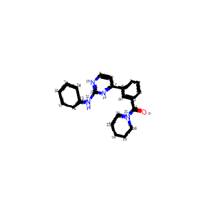 O=C(c1cccc(-c2ccnc(NC3CCCCC3)n2)c1)N1CCCCC1